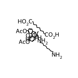 CC(=O)Oc1ccc2c3c1O[C@H]1[C@@H](OC(C)=O)C=C[C@H]4[C@@H](C2)N(C)CC[C@@]341.NCCCCCCCCN.O=C(O)CCCCCCCCC(=O)O